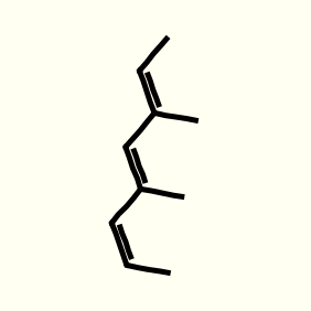 C\C=C/C(C)=C/C(C)=C/C